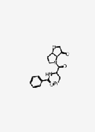 CC(C)CC(NC(=O)c1ccccc1)C(=O)N1CCC2OCC(=O)C21